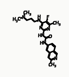 Cc1cc2cc(NC(=O)Nc3nc(C)c(F)c(NCCCN(C)C)n3)ccc2cn1